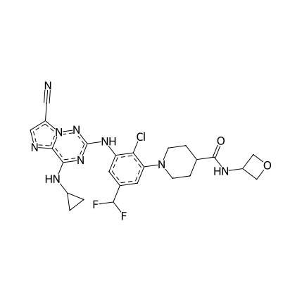 N#Cc1cnc2c(NC3CC3)nc(Nc3cc(C(F)F)cc(N4CCC(C(=O)NC5COC5)CC4)c3Cl)nn12